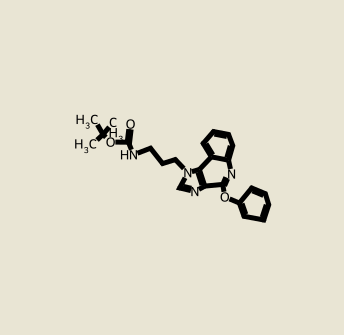 CC(C)(C)OC(=O)NCCCn1cnc2c(Oc3ccccc3)nc3ccccc3c21